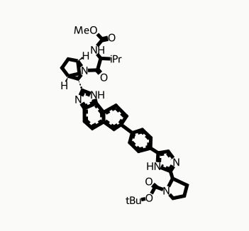 COC(=O)NC(C(=O)N1[C@@H]2CC[C@@H](C2)[C@H]1c1nc2ccc3cc(-c4ccc(-c5cnc(C6CCCN6C(=O)OC(C)(C)C)[nH]5)cc4)ccc3c2[nH]1)C(C)C